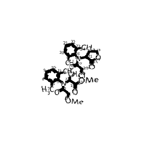 COCC(=O)N(c1c(C)cccc1C)C(C)C(=O)OC.Cc1cccc(C)c1N(C(=O)CCl)C1CCOC1=O